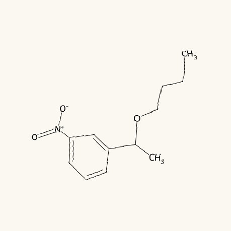 CCCCOC(C)c1cccc([N+](=O)[O-])c1